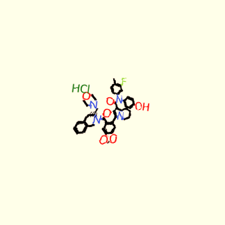 Cc1ccc(N(C(=O)c2cc(-c3cc4c(cc3C(=O)N3Cc5ccccc5C[C@H]3CN3CCOCC3)OCO4)n3c2CCCC3)c2ccc(O)cc2)cc1F.Cl